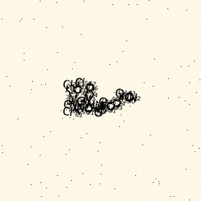 CCCCN(Cc1ccc(Cl)c(Cl)c1)C(=O)c1nn(-c2ccc(C(=O)NS(=O)(=O)c3ccc4ccc(C(=O)N5CCN(C)CC5)cc4c3)cc2C(=O)N2CCc3ccccc3C2)c(C)c1Cl